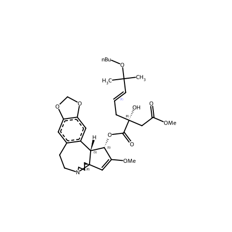 CCCCOC(C)(C)/C=C/C[C@@](O)(CC(=O)OC)C(=O)O[C@@H]1C(OC)=C[C@]23CCCN2CCc2cc4c(cc2[C@H]13)OCO4